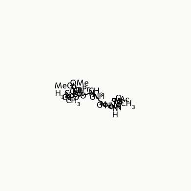 CCCOc1cc(OCCCCN(C)CC(=O)NCCCCC(=O)N2CCN(c3ccc(Nc4ncc5c(C)c(C(C)=O)c(=O)n(C6CCCC6)c5n4)nc3)CC2)cc(Oc2cc3c(cc2NS(=O)(=O)c2ccc(OC)c(OC)c2)n(C)c(=O)n3C)c1